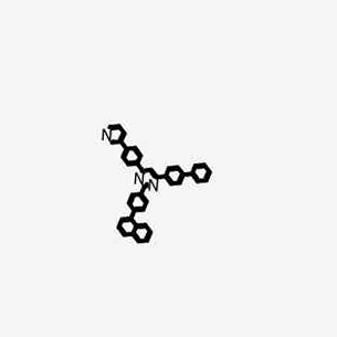 c1ccc(-c2ccc(-c3cc(-c4ccc(-c5cccnc5)cc4)nc(-c4ccc(-c5cccc6ccccc56)cc4)n3)cc2)cc1